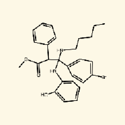 CCCCCNC(Nc1ccccc1O)(c1ccc(Br)cc1)C(C(=O)OC)c1ccccc1